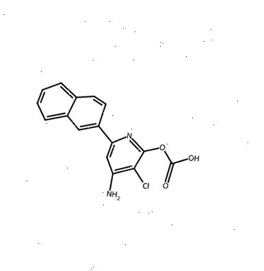 Nc1cc(-c2ccc3ccccc3c2)nc(OC(=O)O)c1Cl